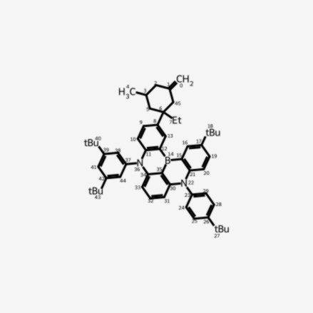 C=C1CC(C)CC(CC)(c2ccc3c(c2)B2c4cc(C(C)(C)C)ccc4N(c4ccc(C(C)(C)C)cc4)c4cccc(c42)N3c2cc(C(C)(C)C)cc(C(C)(C)C)c2)C1